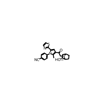 Cc1c(C(=O)CN2C3CCC2[C@@H](O)C3)cc(-c2nccs2)n1-c1ccc(C#N)cc1